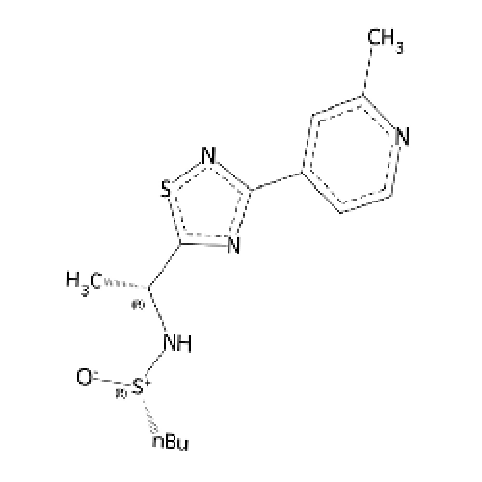 CCCC[S@+]([O-])N[C@H](C)c1nc(-c2ccnc(C)c2)ns1